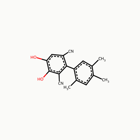 Cc1cc(C)c(-c2c(C#N)cc(O)c(O)c2C#N)cc1C